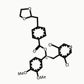 COc1ccc([C@H](Cc2c(Cl)cncc2Cl)OC(=O)c2ccc(CC3OCCO3)cc2)cc1OC